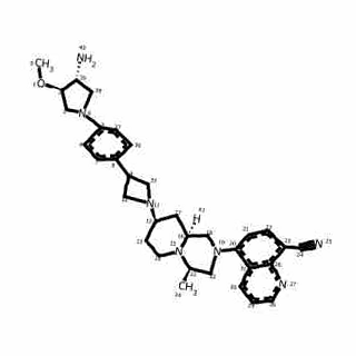 CO[C@@H]1CN(c2ccc(C3CN([C@@H]4CCN5[C@@H](C4)CN(c4ccc(C#N)c6ncccc46)C[C@H]5C)C3)cc2)C[C@H]1N